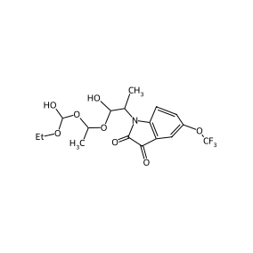 CCOC(O)OC(C)OC(O)C(C)N1C(=O)C(=O)c2cc(OC(F)(F)F)ccc21